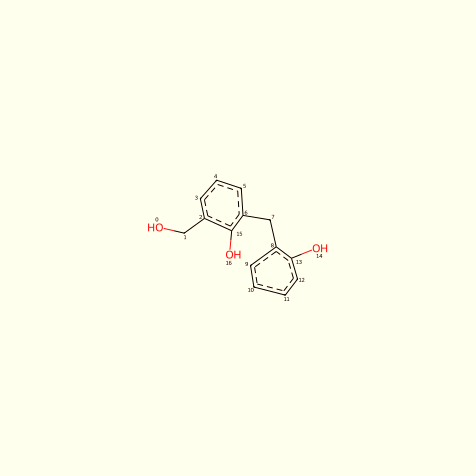 OCc1cccc(Cc2ccccc2O)c1O